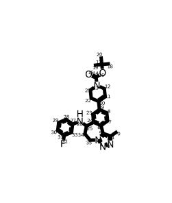 Cc1nnn2c1-c1ccc(C3=CCN(C(=O)OC(C)(C)C)CC3)cc1C(Nc1cccc(F)c1)CC2